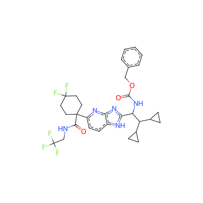 O=C(NC(c1nc2nc(C3(C(=O)NCC(F)(F)F)CCC(F)(F)CC3)ccc2[nH]1)C(C1CC1)C1CC1)OCc1ccccc1